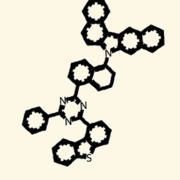 C1=c2c(-c3nc(-c4ccccc4)nc(-c4cccc5sc6ccccc6c45)n3)cccc2=C(n2c3cc4ccccc4cc3c3c4ccccc4ccc32)CC1